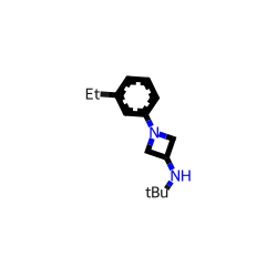 CCc1cccc(N2CC(NC(C)(C)C)C2)c1